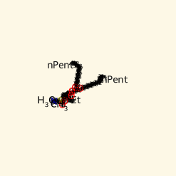 CC/C=C\CC1C(CC(=O)OCC(COCCCCCCCC/C=C\C/C=C\CCCCC)OCCCCCCCC/C=C\C/C=C\CCCCC)CCC1OC(=O)SCCN(C)C